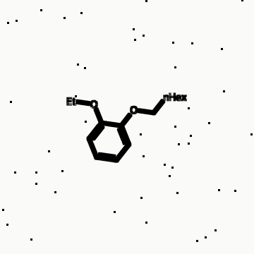 CCCCCCCOc1ccccc1OCC